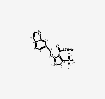 COC(=O)c1c(OCc2ccc3ccoc3c2)nsc1S(C)(=O)=O